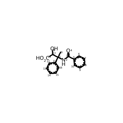 CC(NC(=O)c1ccccc1)(c1ccccc1)C(O)C(=O)O